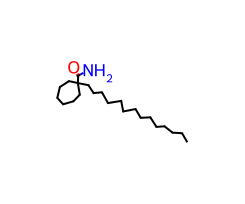 CCCCCCCCCCCCCCC1(C(N)=O)CCCCCC1